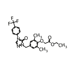 CCOC(=O)COc1c(C)cc(Cn2ncn(-c3ccc(C(F)(F)F)cc3)c2=O)cc1C